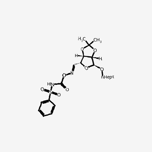 CCCCCCCO[C@H]1O[C@H](/C=N/OC(=O)NS(=O)(=O)c2ccccc2)[C@@H]2OC(C)(C)O[C@H]12